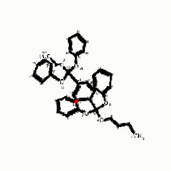 CCCCOC(Oc1ccccc1)(Oc1ccccc1)c1ccc(C(OCC)(Oc2ccccc2)Oc2ccccc2)cc1